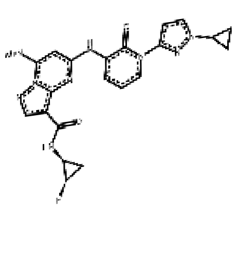 CNc1cc(Nc2cccn(-c3ccn(C4CC4)n3)c2=O)nc2c(C(=O)N[C@H]3C[C@H]3F)cnn12